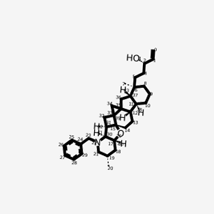 C=C[C@@H](O)CC[C@@]1(C)CCC[C@H]2[C@@H]3CC[C@@]45O[C@@H]6C[C@H](C)CN(Cc7ccccc7)[C@H]6[C@H]4CC54CC34C[C@@H]21